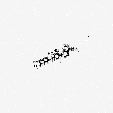 CC1(/C=C/c2ccc3cc(Br)c(N)nc3c2)CC(N2CCc3c(N)ncnc32)[C@@H](O)C1O